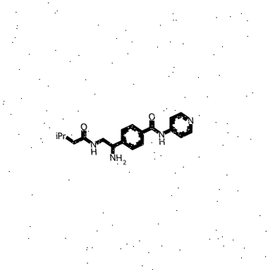 CC(C)CC(=O)NCC(N)c1ccc(C(=O)Nc2ccncc2)cc1